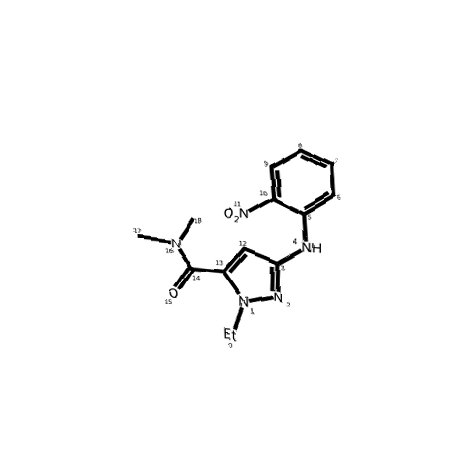 CCn1nc(Nc2ccccc2[N+](=O)[O-])cc1C(=O)N(C)C